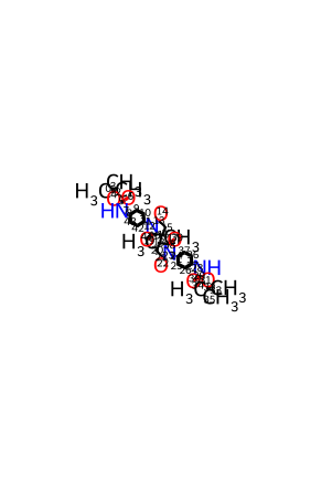 CC(C)(C)OC(=O)Nc1ccc(N2C(=O)CC(C)(C3(C)CC(=O)N(c4ccc(NC(=O)OC(C)(C)C)cc4)C3=O)C2=O)cc1